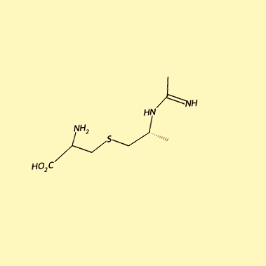 CC(=N)N[C@H](C)CSCC(N)C(=O)O